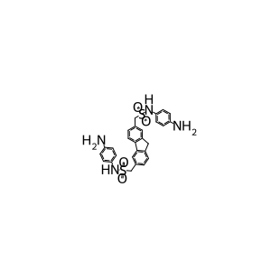 Nc1ccc(NS(=O)(=O)Cc2ccc3c(c2)Cc2ccc(CS(=O)(=O)Nc4ccc(N)cc4)cc2-3)cc1